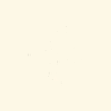 CC1=CC(C)C(C)=C1C.CC1=Cc2c(cccc2-c2ccccc2)C1.CCOCC